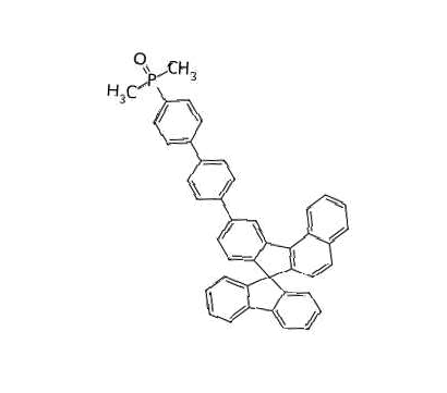 CP(C)(=O)c1ccc(-c2ccc(-c3ccc4c(c3)-c3c(ccc5ccccc35)C43c4ccccc4-c4ccccc43)cc2)cc1